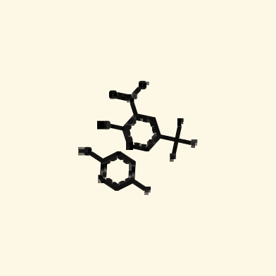 O=[N+]([O-])c1cc(C(F)(F)F)cnc1O.Oc1ccc(F)cn1